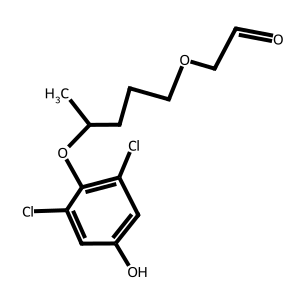 CC(CCCOCC=O)Oc1c(Cl)cc(O)cc1Cl